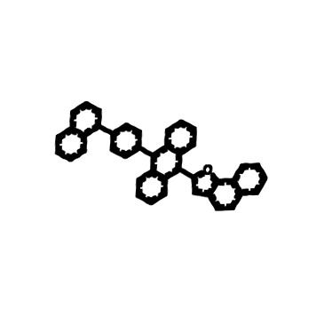 c1ccc2c(-c3ccc(-c4c5ccccc5c(-c5cc6ccc7ccccc7c6o5)c5ccccc45)cc3)cccc2c1